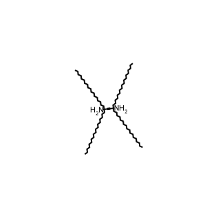 CCCCCCCCCCCCCCCCCCC(N)(C#CC(N)(CCCCCCCCCCCCCCCCCC)CCCCCCCCCCCCCCCCCC)CCCCCCCCCCCCCCCCCC